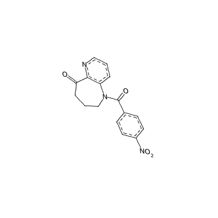 O=C1CCCN(C(=O)c2ccc([N+](=O)[O-])cc2)c2cccnc21